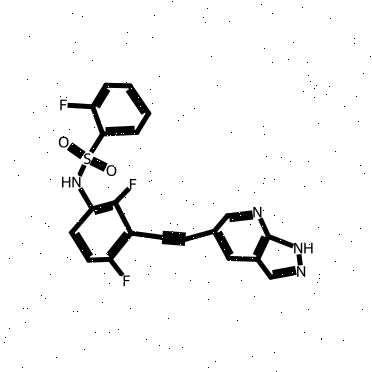 O=S(=O)(Nc1ccc(F)c(C#Cc2cnc3[nH]ncc3c2)c1F)c1ccccc1F